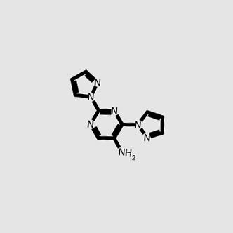 Nc1cnc(-n2cccn2)nc1-n1cccn1